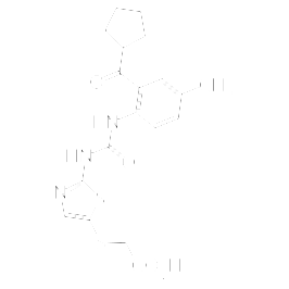 Cc1ccc(NC(=O)Nc2ncc(SCC(=O)O)s2)c(C(=O)C2CCCC2)c1